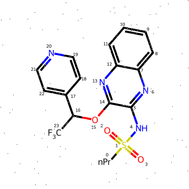 CCCS(=O)(=O)Nc1nc2ccccc2nc1OC(c1ccncc1)C(F)(F)F